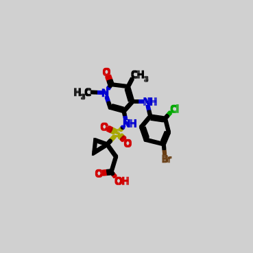 Cc1c(Nc2ccc(Br)cc2Cl)c(NS(=O)(=O)C2(CC(=O)O)CC2)cn(C)c1=O